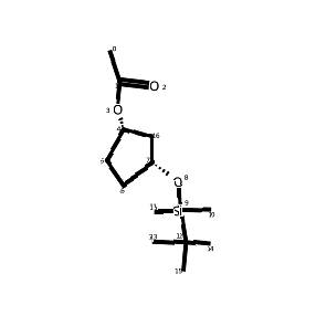 CC(=O)O[C@H]1CC[C@@H](O[Si](C)(C)C(C)(C)C)C1